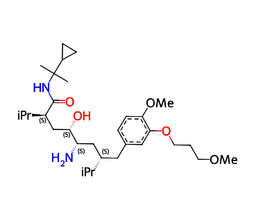 COCCCOc1cc(C[C@@H](C[C@H](N)[C@@H](O)C[C@H](C(=O)NC(C)(C)C2CC2)C(C)C)C(C)C)ccc1OC